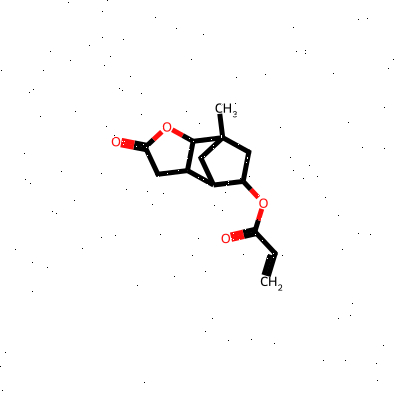 C=CC(=O)OC1CC2(C)CC1C1CC(=O)OC12